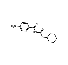 N=C(NC(=O)OC1CCCCC1)c1ccc(N)cc1